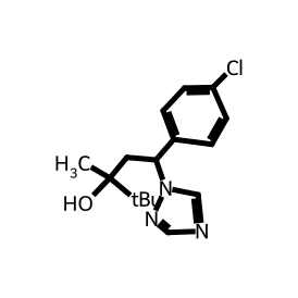 CC(C)(C)C(C)(O)CC(c1ccc(Cl)cc1)n1cncn1